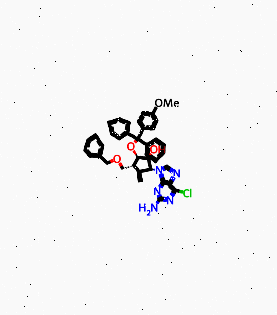 C=C1[C@@H](n2cnc3c(Cl)nc(N)nc32)C(O)[C@H](OC(c2ccccc2)(c2ccccc2)c2ccc(OC)cc2)[C@H]1COCc1ccccc1